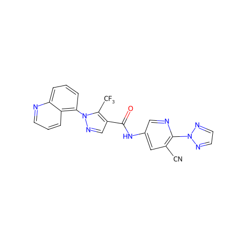 N#Cc1cc(NC(=O)c2cnn(-c3cccc4ncccc34)c2C(F)(F)F)cnc1-n1nccn1